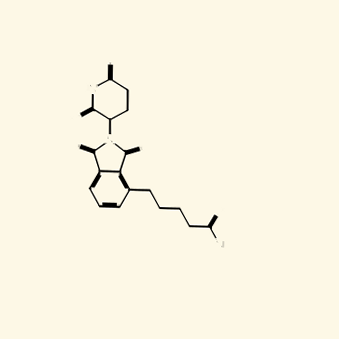 NC(=O)CCCCc1cccc2c1C(=O)N(C1CCC(=O)NC1=O)C2=O